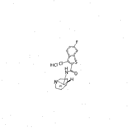 Cl.O=C(N[C@H]1CN2CCC1CC2)c1sc2cc(F)ccc2c1Cl